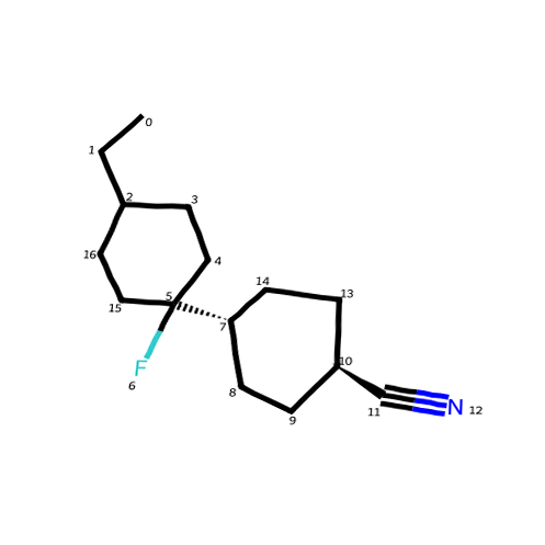 CCC1CCC(F)([C@H]2CC[C@H](C#N)CC2)CC1